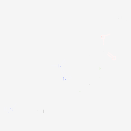 CCOC(=O)C(F)(F)c1cn(Cc2ccc(N)c(C)c2)nc1C(F)(F)F